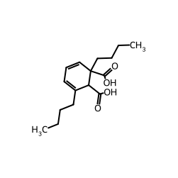 CCCCC1=CC=CC(CCCC)(C(=O)O)C1C(=O)O